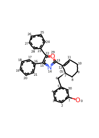 [O]c1cccc(C[C@@H]2CCCC=C2c2nc(-c3ccccc3)c(-c3ccccc3)o2)c1